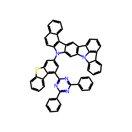 c1ccc(-c2nc(-c3ccccc3)nc(-c3cc(-n4c5cc6c(cc5c5c7ccccc7ccc54)c4cccc5c7ccccc7n6c54)cc4sc5ccccc5c34)n2)cc1